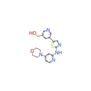 OCc1cncc(-c2cnc(Nc3cc(N4CCOCC4)ccn3)s2)c1